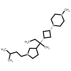 CCC(C)(C1CCN(CCC(C)C)C1)[C@H]1C[C@@H](N2CCN(C)CC2)C1